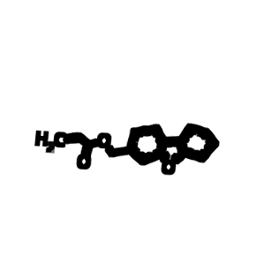 C=CC(=O)OCc1ccc2c(c1)oc1ccccc12